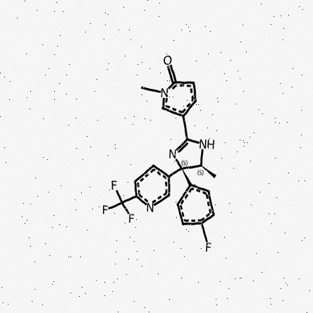 C[C@@H]1NC(c2ccc(=O)n(C)c2)=N[C@@]1(c1ccc(F)cc1)c1ccc(C(F)(F)F)nc1